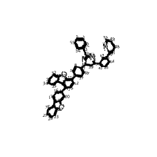 c1ccc(-c2nc(-c3ccc(-c4ccc(-c5ccc6c(c5)oc5ccccc56)c5c4oc4ccccc45)cc3)cc(-c3cccc(-c4ccccn4)c3)n2)cc1